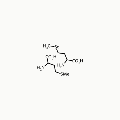 CSCCC(N)C(=O)O.C[Se]CCC(N)C(=O)O